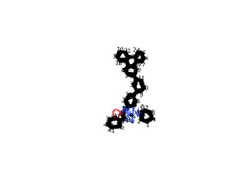 c1ccc(-n2c3cc(-c4cccc(-c5ccc6c7ccccc7c7ccccc7c6c5)c4)ccc3n3c4oc5ccccc5c4nc23)cc1